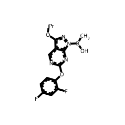 CB(O)n1nc(OC(C)C)c2cnc(Oc3ccc(F)cc3F)nc21